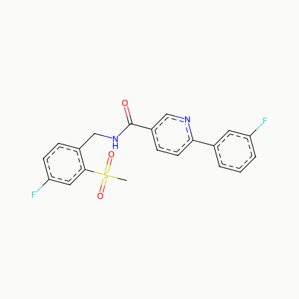 CS(=O)(=O)c1cc(F)ccc1CNC(=O)c1ccc(-c2cccc(F)c2)nc1